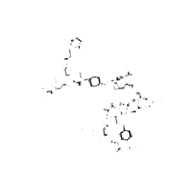 C=C(C(=O)N[C@@H](C)C(=O)N(C)[C@@H](C)C(=O)N[C@H](C(=O)NC)[C@H](OC(=O)[C@@H](NC(=O)CC)[C@H](O[PH](=O)OCc1ccc(NC(=O)[C@H](CCCNC(N)=O)NC(=O)[C@@H](NC(=O)CCN2C(=O)C=CC2=O)C(C)C)cc1)C(C)C)C(C)C)N(C)C(=O)[C@@H](Cc1ccccc1)OC(=O)[C@@H](NC(C)=O)[C@H](OC(=O)C[C@@H](C)OC)C(C)C